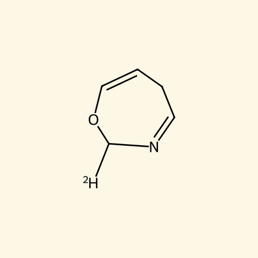 [2H]C1N=CCC=CO1